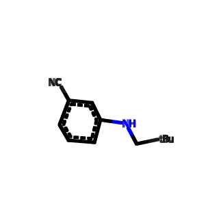 CC(C)(C)CNc1cccc(C#N)c1